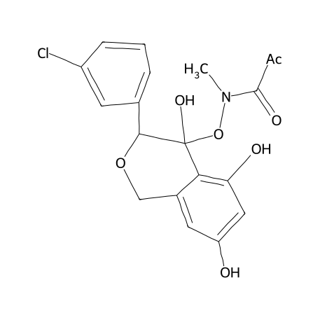 CC(=O)C(=O)N(C)OC1(O)c2c(O)cc(O)cc2COC1c1cccc(Cl)c1